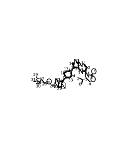 CC(C)[C@H]1COC(=O)N1c1ccn2ncc(-c3ccc(-c4ncn(COCC[Si](C)(C)C)n4)cc3)c2n1